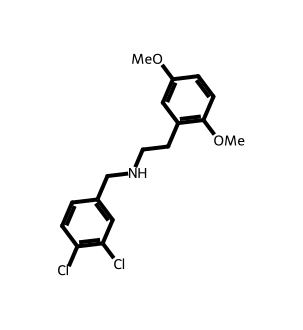 COc1ccc(OC)c(CCNCc2ccc(Cl)c(Cl)c2)c1